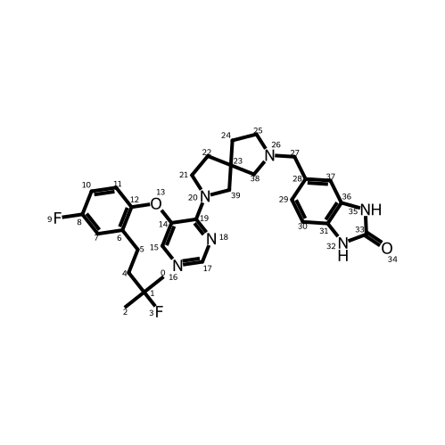 CC(C)(F)CCc1cc(F)ccc1Oc1cncnc1N1CCC2(CCN(Cc3ccc4[nH]c(=O)[nH]c4c3)C2)C1